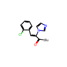 CC(C)(C)C(=O)/C(=C/c1ccccc1Cl)n1ccnc1